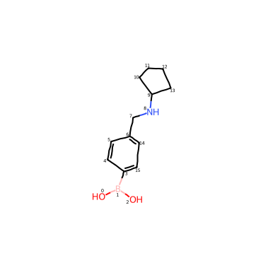 OB(O)c1ccc(CNC2CCCC2)cc1